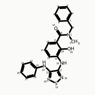 CN(Cc1ccccc1)C(=O)c1cccc(Nc2nsnc2Nc2ccccc2)c1O